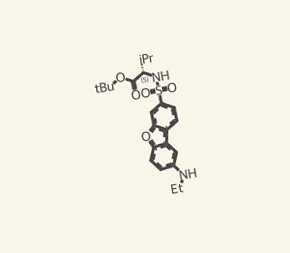 CCNc1ccc2oc3cc(S(=O)(=O)N[C@H](C(=O)OC(C)(C)C)C(C)C)ccc3c2c1